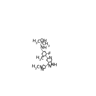 Cc1cc(CNCC(C)(C)O)cc(F)c1-c1cc2c(-c3cnn(C)c3)n[nH]c2cn1